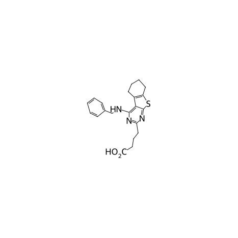 O=C(O)CCCc1nc(NCc2ccccc2)c2c3c(sc2n1)CCCC3